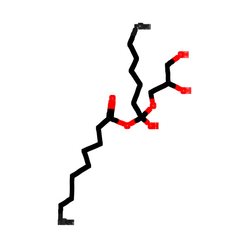 CCCCCCCCCCCCCCCCCC(=O)OC(O)(CCCCCCCCCCCCCCC)OCC(O)CO